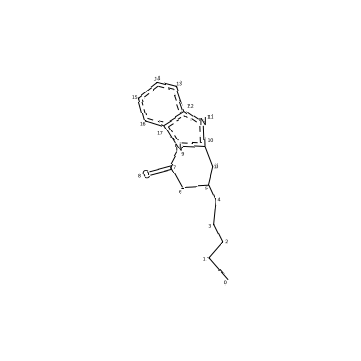 CCCCCC1CC(=O)n2c(nc3ccccc32)C1